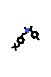 C=C(c1ccc(C)cc1)N(C)CCc1ccc(CC(C)(C)C)cc1